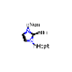 CCCCCCCCCN1C=CN(CCCCCCC)C1CCCC